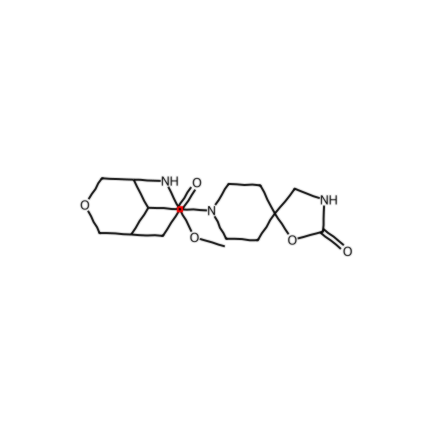 COC(=O)C1C2COCC1NC(N1CCC3(CC1)CNC(=O)O3)C2